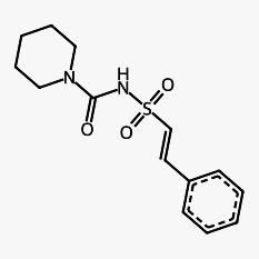 O=C(NS(=O)(=O)/C=C/c1ccccc1)N1CCCCC1